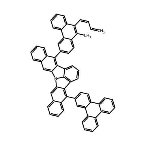 C=C/C=C\c1c(C)c2ccc(-c3c4ccccc4cc4c3c3cccc5c6c(-c7ccc8c9ccccc9c9ccccc9c8c7)c7ccccc7cc6n4c35)cc2c2ccccc12